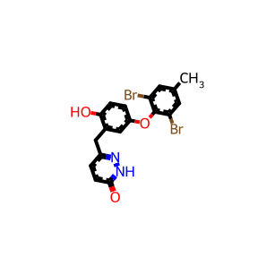 Cc1cc(Br)c(Oc2ccc(O)c(Cc3ccc(=O)[nH]n3)c2)c(Br)c1